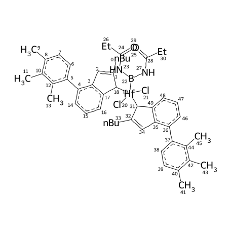 CCCCC1=Cc2c(-c3ccc(C)c(C)c3C)cccc2[CH]1[Hf]([Cl])([Cl])([B](NC(=O)CC)NC(=O)CC)[CH]1C(CCCC)=Cc2c(-c3ccc(C)c(C)c3C)cccc21